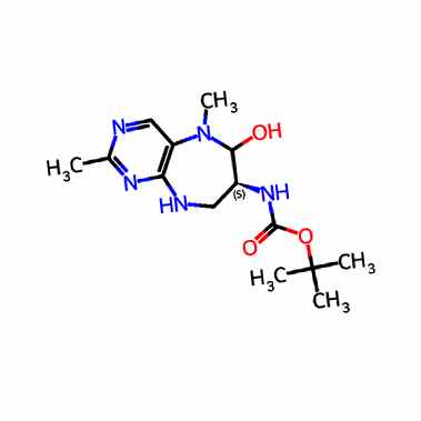 Cc1ncc2c(n1)NC[C@H](NC(=O)OC(C)(C)C)C(O)N2C